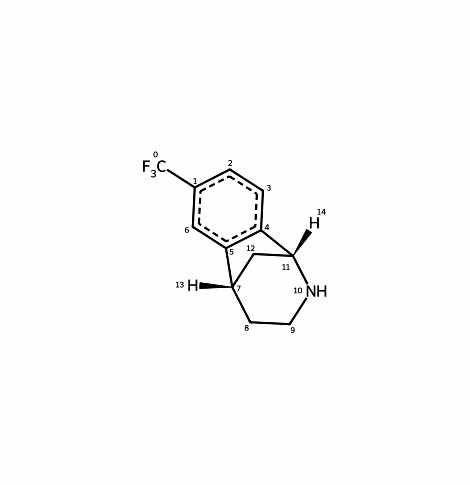 FC(F)(F)c1ccc2c(c1)[C@H]1CCN[C@@H]2C1